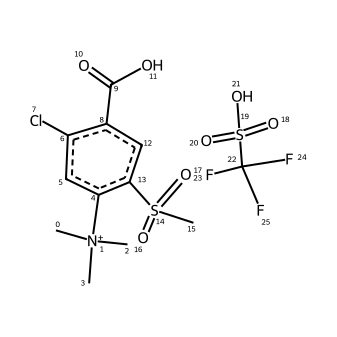 C[N+](C)(C)c1cc(Cl)c(C(=O)O)cc1S(C)(=O)=O.O=S(=O)(O)C(F)(F)F